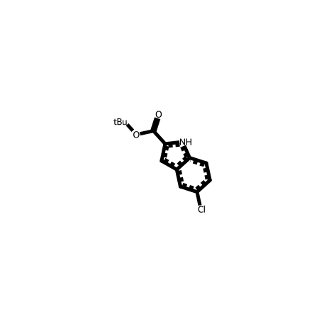 CC(C)(C)OC(=O)c1cc2cc(Cl)ccc2[nH]1